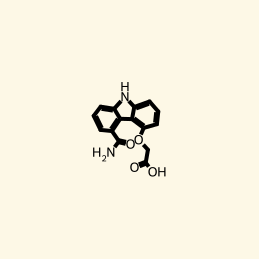 NC(=O)c1cccc2[nH]c3cccc(OCC(=O)O)c3c12